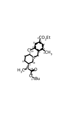 CCOC(=O)c1cc(C)c(CN2CCC[C@H](N(C)C(=O)OC(C)(C)C)C2)c(Cl)c1